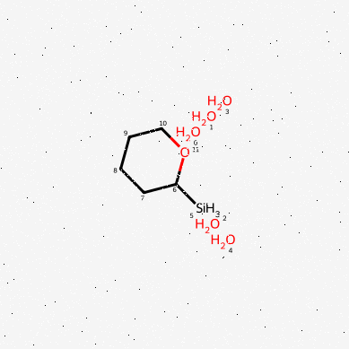 O.O.O.O.O.[SiH3]C1CCCCO1